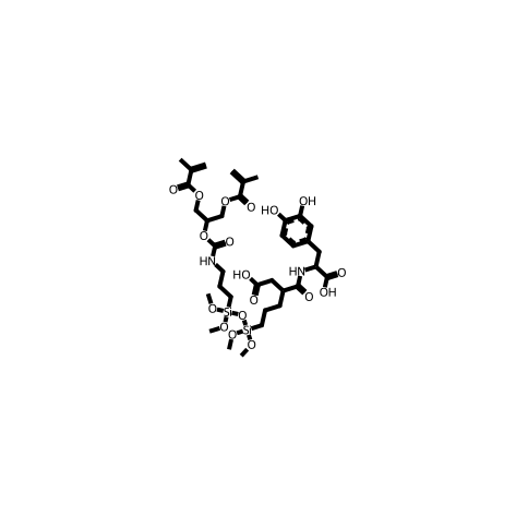 C=C(C)C(=O)OCC(COC(=O)C(=C)C)OC(=O)NCCC[Si](OC)(OC)O[Si](CCCC(CC(=O)O)C(=O)NC(Cc1ccc(O)c(O)c1)C(=O)O)(OC)OC